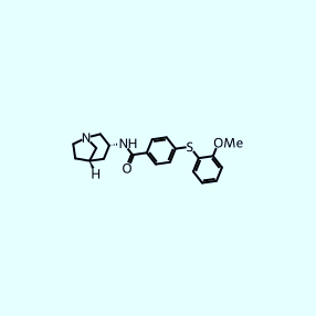 COc1ccccc1Sc1ccc(C(=O)N[C@@H]2C[C@@H]3CCN(C3)C2)cc1